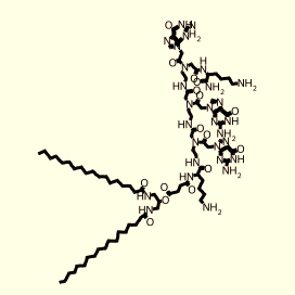 CCCCCCCCCCCCCCCCCC(=O)NCC(CNC(=O)CCCCCCCCCCCCCCCCC)OC(=O)CCC(=O)NC(CCCCN)C(=O)NCCN(CC(=O)NCCN(CC(=O)NCCN(CC(=O)NC(CCCCN)C(N)=O)C(=O)Cn1cnc2c(=O)[nH]c(N)nc21)C(=O)Cn1cnc2c(=O)[nH]c(N)nc21)C(=O)Cn1cnc2c(=O)[nH]c(N)nc21